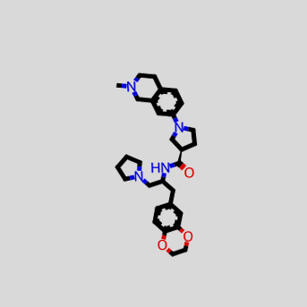 CN1CCc2ccc(N3CC[C@@H](C(=O)NC(Cc4ccc5c(c4)OCCO5)CN4CCCC4)C3)cc2C1